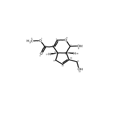 COC(=O)C1=COC(O)[C@@H]2C(CO)=CC[C@H]12